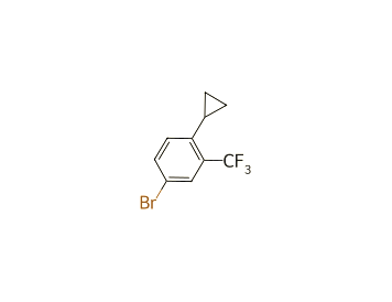 FC(F)(F)c1cc(Br)ccc1C1CC1